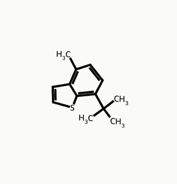 Cc1ccc(C(C)(C)C)c2sccc12